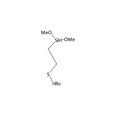 CCCCSCC[SiH](OC)OC